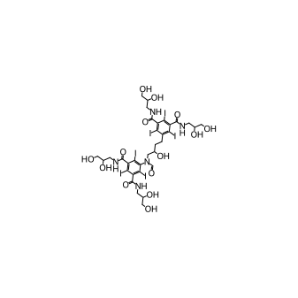 O=CN(CC(O)CCc1c(I)c(C(=O)NCC(O)CO)c(I)c(C(=O)NCC(O)CO)c1I)c1c(I)c(C(=O)NCC(O)CO)c(I)c(C(=O)NCC(O)CO)c1I